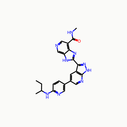 CCC(C)Nc1ccc(-c2cnc3[nH]nc(-c4nc5c(C(=O)NC)cncc5[nH]4)c3c2)cn1